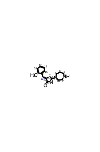 O=C1N=C(N2CCCNCC2)S/C1=C\c1ccccc1O